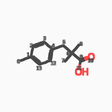 Cc1ccc(CC(C)(C)C(=O)O)cc1